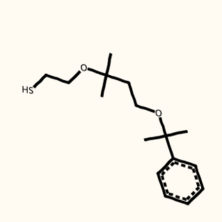 CC(C)(CCOC(C)(C)c1ccccc1)OCCS